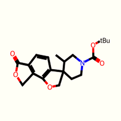 CC1CN(C(=O)OC(C)(C)C)CCC12COc1c2ccc2c1COC2=O